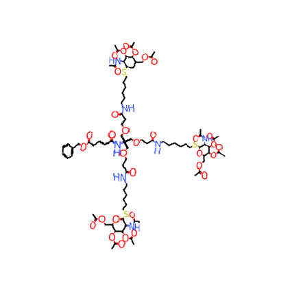 CC(=O)NC1C(SCCCCCCNC(=O)CCOCC(COCCC(=O)NCCCCCCSC2OC(COC(C)=O)C(OC(C)=O)C(OC(C)=O)C2NC(C)=O)(COCCC(=O)NCCCCCCSC2OC(COC(C)=O)C(OC(C)=O)C(OC(C)=O)C2NC(C)=O)NC(=O)CCCC(=O)OCc2ccccc2)CC(COC(C)=O)C(OC(C)=O)C1OC(C)=O